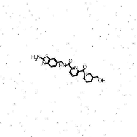 Nc1nc2ccc(CNC(=O)c3cccc(C(=O)N4CCCC(CO)C4)n3)cc2s1